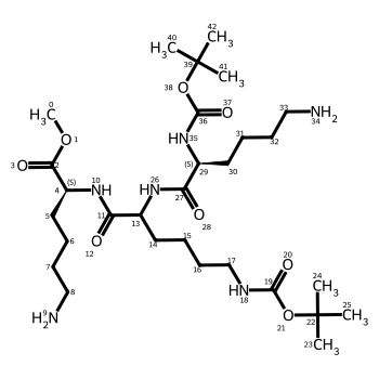 COC(=O)[C@H](CCCCN)NC(=O)C(CCCCNC(=O)OC(C)(C)C)NC(=O)[C@H](CCCCN)NC(=O)OC(C)(C)C